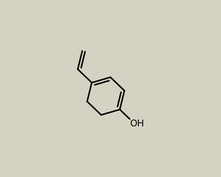 C=CC1=CC=C(O)CC1